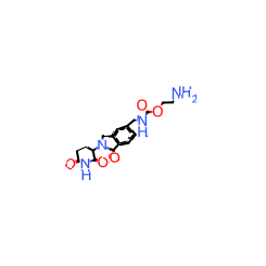 NCCOC(=O)NCc1ccc2c(c1)CN(C1CCC(=O)NC1=O)C2=O